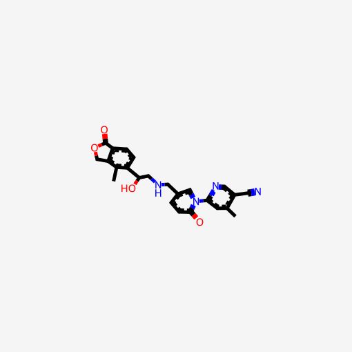 Cc1cc(-n2cc(CNCC(O)c3ccc4c(c3C)COC4=O)ccc2=O)ncc1C#N